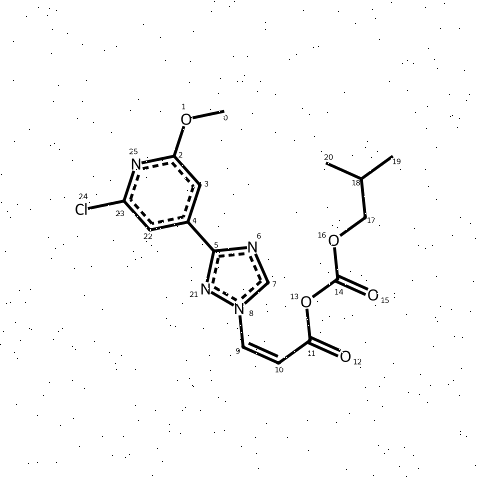 COc1cc(-c2ncn(/C=C\C(=O)OC(=O)OCC(C)C)n2)cc(Cl)n1